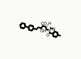 Cc1ccc2c(=O)n(CCC(C(=O)O)C(O)CCc3ccc(-c4ccccc4)cc3)nnc2c1